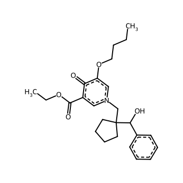 CCCCOc1cn(CC2(C(O)c3ccccc3)CCCC2)cc(C(=O)OCC)c1=O